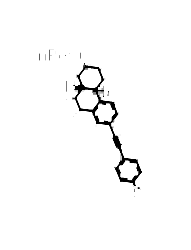 CCCCC[C@@H]1CC[C@@H]2c3ccc(C#Cc4ccc(Cl)cc4)cc3CC[C@@H]2C1